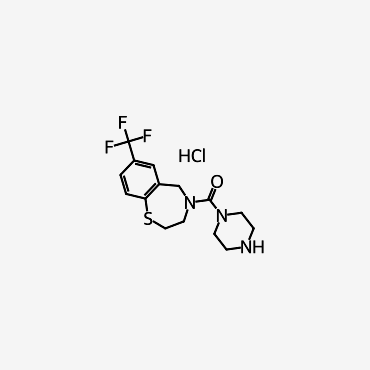 Cl.O=C(N1CCNCC1)N1CCSc2ccc(C(F)(F)F)cc2C1